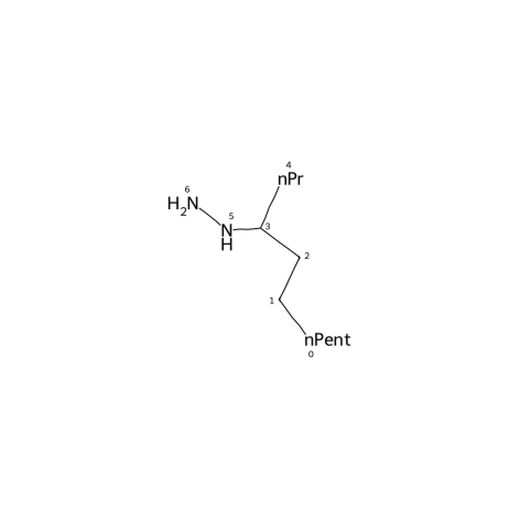 CCCCCCCC(CCC)NN